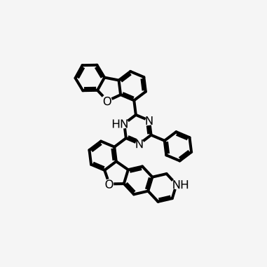 C1=Cc2cc3oc4cccc(C5=NC(c6ccccc6)=NC(c6cccc7c6oc6ccccc67)N5)c4c3cc2CN1